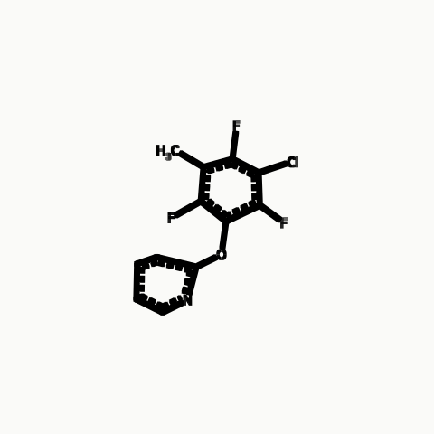 Cc1c(F)c(Cl)c(F)c(Oc2ccccn2)c1F